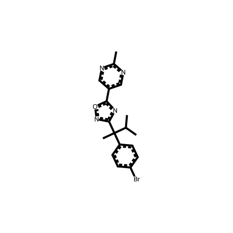 Cc1ncc(-c2nc(C(C)(c3ccc(Br)cc3)C(C)C)no2)cn1